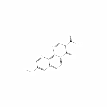 COc1cnc2c3c(ccc2c1)C(=O)C(C(=O)O)C=N3